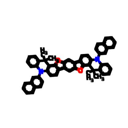 CC1(C)c2ccccc2N(c2ccc3ccccc3c2)c2ccc3c(oc4cc5c(cc43)oc3c4c(ccc35)N(c3ccc5ccccc5c3)c3ccccc3C4(C)C)c21